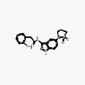 Cc1ccccc1CC(=O)Nc1n[nH]c2ccc(N3CCCS3(=O)=O)cc12